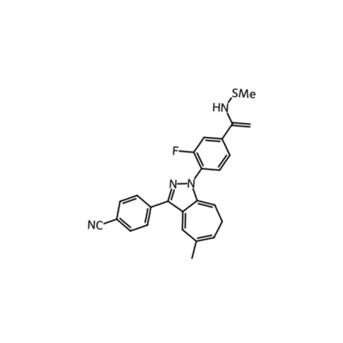 C=C(NSC)c1ccc(-n2nc(-c3ccc(C#N)cc3)c3c2=CCC=C(C)C=3)c(F)c1